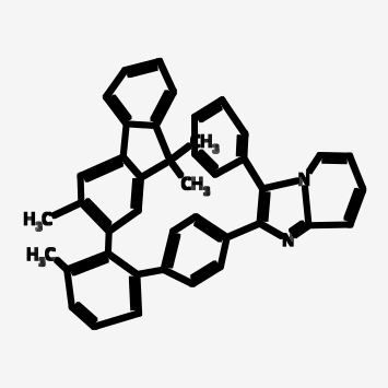 Cc1cc2c(cc1-c1c(C)cccc1-c1ccc(-c3nc4ccccn4c3-c3ccccc3)cc1)C(C)(C)c1ccccc1-2